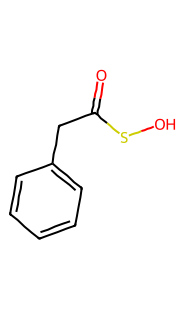 O=C(Cc1ccccc1)SO